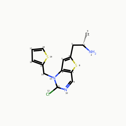 CC[C@H](N)Cc1cc2c(s1)C=NC(Cl)N2Cc1cccs1